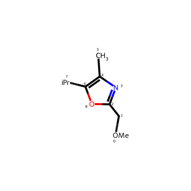 COCc1nc(C)c(C(C)C)o1